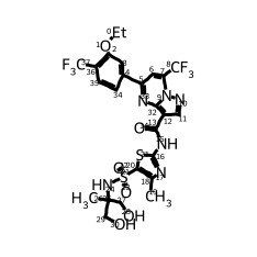 CCOc1cc(-c2cc(C(F)(F)F)n3ncc(C(=O)Nc4nc(C)c(S(=O)(=O)NC(C)(CO)CO)s4)c3n2)ccc1C(F)(F)F